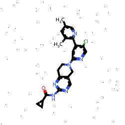 Cc1cnc(-c2cc(N3CCc4nc(NC(=O)C5CC5)ncc4C3)ncc2Cl)c(C)c1